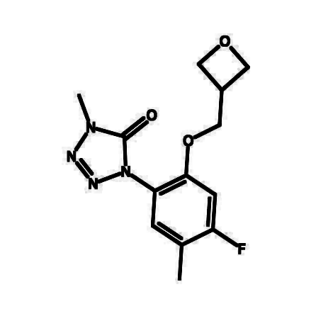 Cc1cc(-n2nnn(C)c2=O)c(OCC2COC2)cc1F